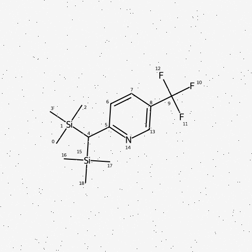 C[Si](C)(C)C(c1ccc(C(F)(F)F)cn1)[Si](C)(C)C